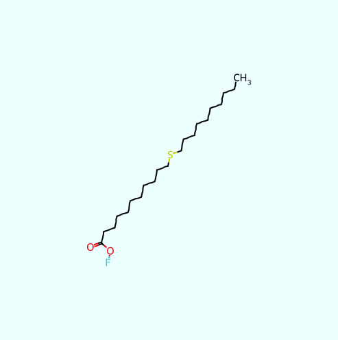 CCCCCCCCCCSCCCCCCCCCCC(=O)OF